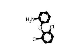 Nc1ccccc1Oc1c(Cl)cccc1Cl